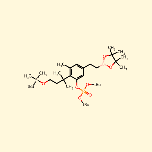 Cc1cc(CCB2OC(C)(C)C(C)(C)O2)cc(OP(=O)(OC(C)(C)C)OC(C)(C)C)c1C(C)(C)CCO[Si](C)(C)C(C)(C)C